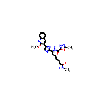 CNC(=O)CCCCC[C@H](NC(=O)c1nnc(C)o1)c1ncc(-c2cc3ccccc3nc2OC)[nH]1